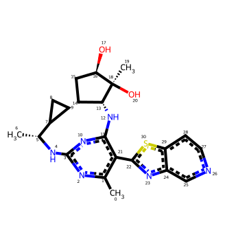 Cc1nc(N[C@H](C)C2CC2)nc(N[C@@H]2CC[C@@H](O)[C@@]2(C)O)c1-c1nc2cnccc2s1